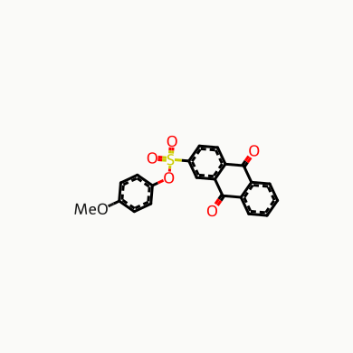 COc1ccc(OS(=O)(=O)c2ccc3c(c2)C(=O)c2ccccc2C3=O)cc1